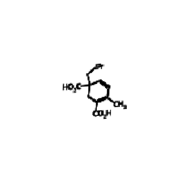 CC1=C(C(=O)O)CC(CC(C)C)(C(=O)O)C=C1